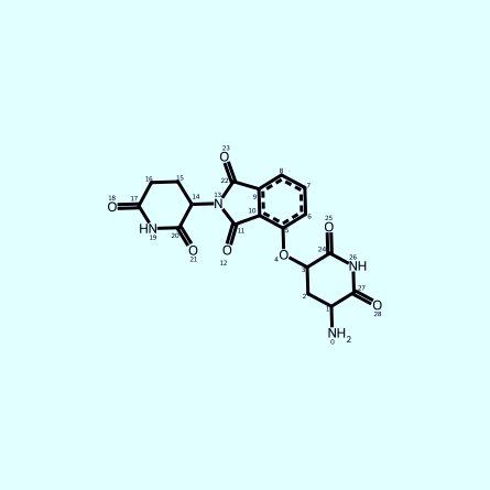 NC1CC(Oc2cccc3c2C(=O)N(C2CCC(=O)NC2=O)C3=O)C(=O)NC1=O